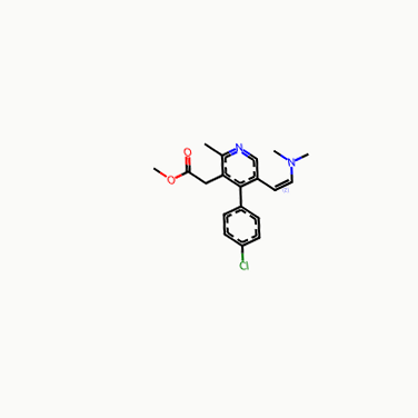 COC(=O)Cc1c(C)ncc(/C=C\N(C)C)c1-c1ccc(Cl)cc1